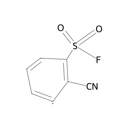 N#Cc1[c]cccc1S(=O)(=O)F